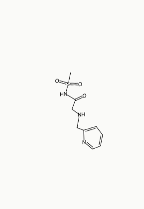 CS(=O)(=O)NC(=O)CNCc1ccccn1